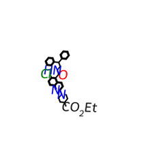 CCOC(=O)C1CCN(c2ccc3c(C(=O)NCC(c4ccccc4)c4ccccc4)c(Cl)ccc3n2)CC1